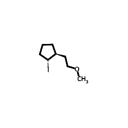 COCC[C@@H]1CCC[C@H]1I